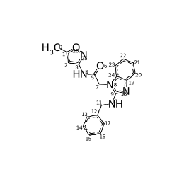 Cc1cc(NC(=O)Cn2c(NCc3ccccc3)nc3ccccc32)no1